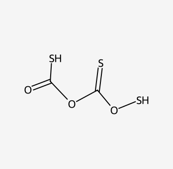 O=C(S)OC(=S)OS